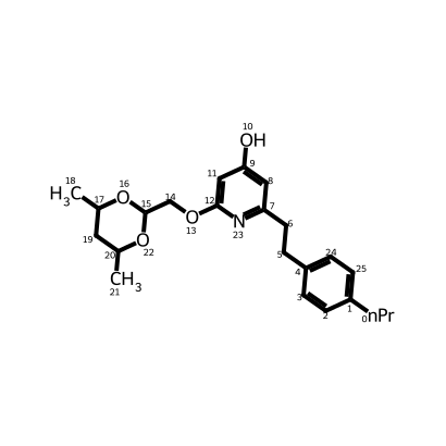 CCCc1ccc(CCc2cc(O)cc(OCC3OC(C)CC(C)O3)n2)cc1